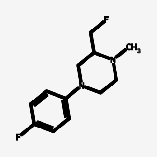 CN1CCN(c2ccc(F)cc2)CC1CF